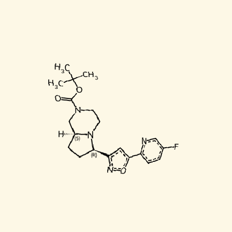 CC(C)(C)OC(=O)N1CCN2[C@@H](CC[C@@H]2c2cc(-c3ccc(F)cn3)on2)C1